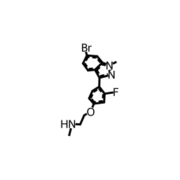 CNCCOc1ccc(-c2nn(C)c3cc(Br)ccc23)c(F)c1